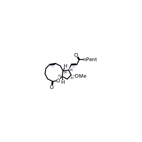 CCCCCC(=O)/C=C/[C@@H]1[C@H]2C/C=C\CCCC(=O)O[C@H]2C[C@H]1OC